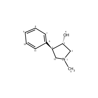 CN1C[C@@H](O)[C@H](c2ccccc2)C1